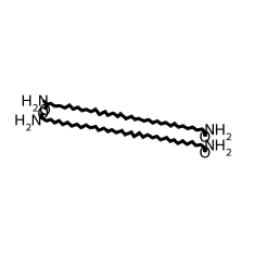 NC(=O)CCCCCCCCCCCCCCCCCCCCCCCCCCCCCCCCCCCC(N)=O.NC(=O)CCCCCCCCCCCCCCCCCCCCCCCCCCCCCCCCCCCCC(N)=O